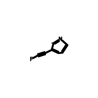 FC#Cc1[c]nccc1